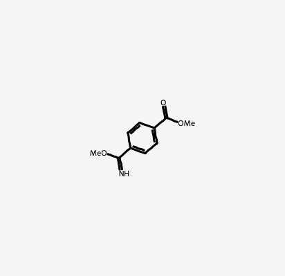 COC(=N)c1ccc(C(=O)OC)cc1